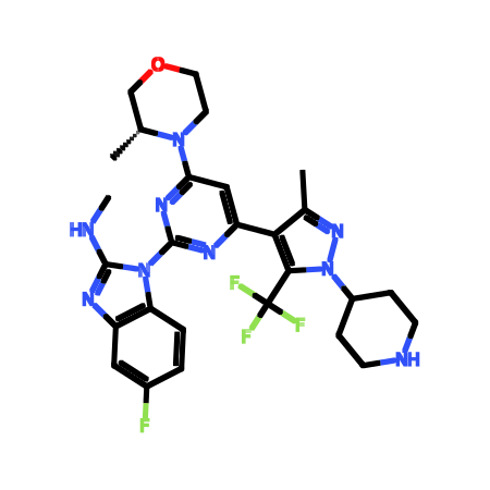 CNc1nc2cc(F)ccc2n1-c1nc(-c2c(C)nn(C3CCNCC3)c2C(F)(F)F)cc(N2CCOC[C@H]2C)n1